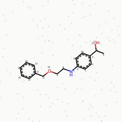 CC(O)c1ccc(NCCOCc2ccccc2)cc1